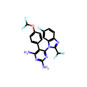 Nc1nc(N)c(-c2ccc(OC(F)F)cc2)c(-n2c(C(F)F)nc3ccc(F)cc32)n1